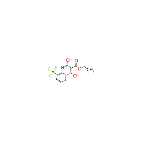 CCOC(=O)c1c(O)nc2c(C(F)(F)F)cccc2c1O